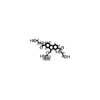 CCCCNC(=O)OCC1c2cc(C(=O)NCCO)ccc2-c2ccc(C(=O)NCCO)cc21